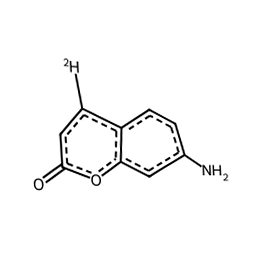 [2H]c1cc(=O)oc2cc(N)ccc12